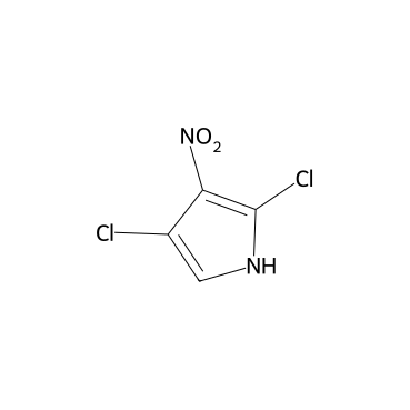 O=[N+]([O-])c1c(Cl)c[nH]c1Cl